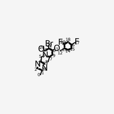 Cc1cnc(Cn2c(C)cc(OCc3ccc(F)cc3F)c(Br)c2=O)cn1